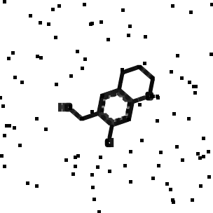 OCc1cc2c(cc1Cl)OCCC2